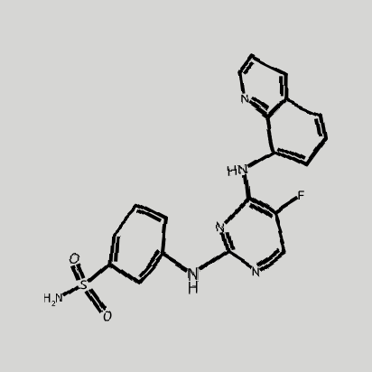 NS(=O)(=O)c1cccc(Nc2ncc(F)c(Nc3cccc4cccnc34)n2)c1